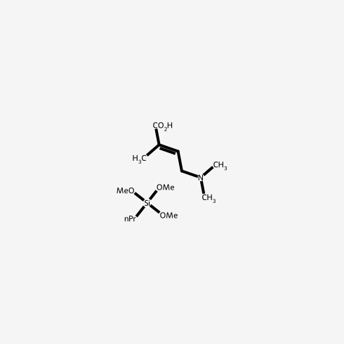 CC(=CCN(C)C)C(=O)O.CCC[Si](OC)(OC)OC